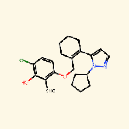 O=Cc1c(OCC2=C(c3ccnn3C3CCCC3)CCCC2)ccc(Cl)c1O